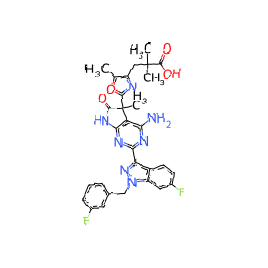 Cc1oc(C2(C)C(=O)Nc3nc(-c4nn(Cc5cccc(F)c5)c5cc(F)ccc45)nc(N)c32)nc1CC(C)(C)C(=O)O